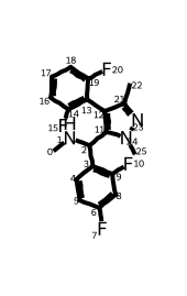 CNC(c1ccc(F)cc1F)c1c(-c2c(F)cccc2F)c(C)nn1C